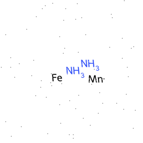 N.N.[Fe].[Mn]